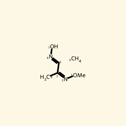 C.CON=C(C)C=NO